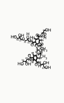 CC(=O)N(CC(O)CN(C(C)=O)C1(I)C=C(I)C(C(=O)NCC(O)CO)=C(I)C1C(=O)NCC(O)COCC(O)CO)c1c(I)c(C(=O)NCC(O)CO)c(I)c(C(=O)NCC(O)CO)c1I